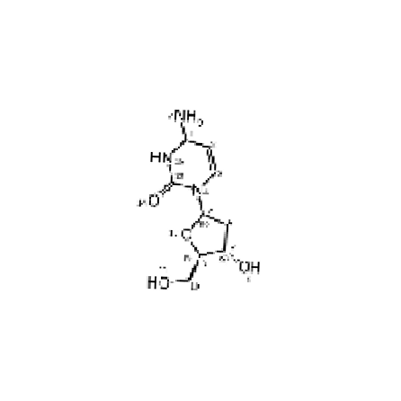 NC1C=CN([C@H]2C[C@H](O)[C@@H](CO)O2)C(=O)N1